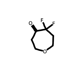 O=C1CCOCCC1(F)F